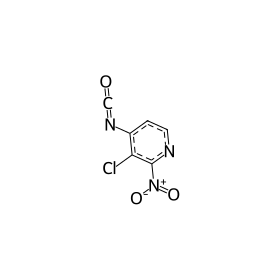 O=C=Nc1ccnc([N+](=O)[O-])c1Cl